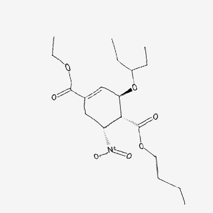 CCCCOC(=O)[C@@H]1[C@H]([N+](=O)[O-])CC(C(=O)OCC)=C[C@H]1OC(CC)CC